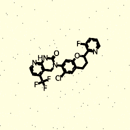 O=C1Nc2nccc(C(F)(F)F)c2CN1c1cc2c(cc1Cl)CCC(c1ncccc1F)O2